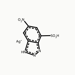 O=[N+]([O-])c1cc(S(=O)(=O)O)c2nn[nH]c2c1.[Ag+]